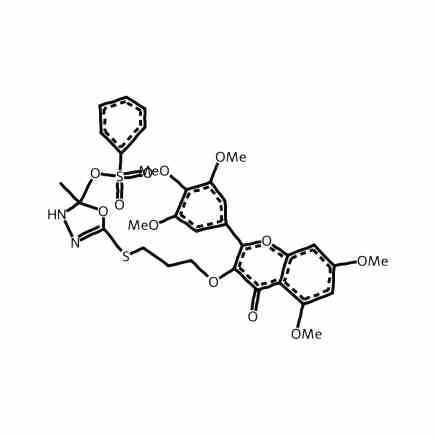 COc1cc(OC)c2c(=O)c(OCCCSC3=NNC(C)(OS(=O)(=O)c4ccccc4)O3)c(-c3cc(OC)c(OC)c(OC)c3)oc2c1